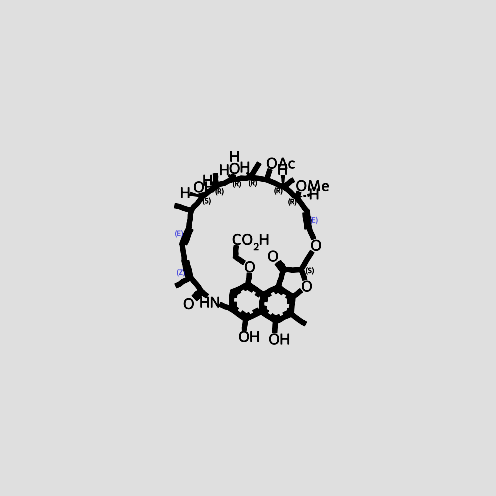 CO[C@H]1/C=C/O[C@@]2(C)Oc3c(C)c(O)c4c(O)c(cc(OCC(=O)O)c4c3C2=O)NC(=O)/C(C)=C\C=C\C(C)[C@H](O)[C@@H](C)[C@@H](O)[C@@H](C)C(OC(C)=O)[C@@H]1C